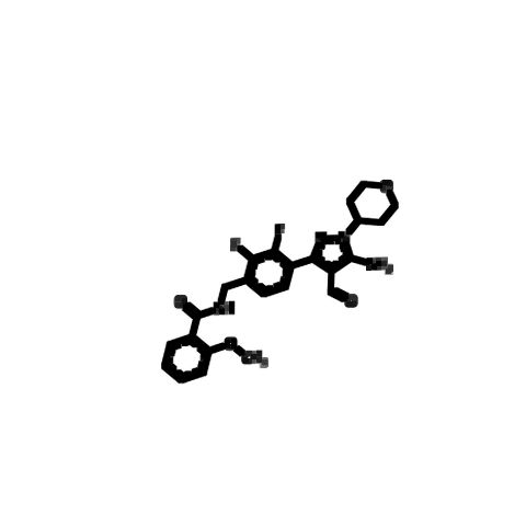 COc1ccccc1C(=O)NCc1ccc(-c2nn(C3CCOCC3)c(N)c2C=O)c(F)c1F